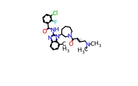 Cc1cccc2nc(NC(=O)c3cccc(Cl)c3F)n(C3CCCCN(C(=O)/C=C/CN(C)C)C3)c12